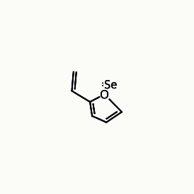 C=Cc1ccco1.[Se]